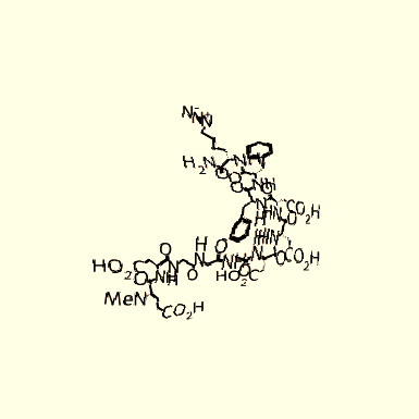 CN[C@@H](CCC(=O)O)C(=O)N[C@@H](CC(=O)O)C(=O)NCC(=O)NCC(=O)NCC(=O)N[C@@H](CC(=O)O)C(=O)N[C@@H](CC(=O)O)C(=O)N[C@@H](CC(=O)O)C(=O)N[C@@H](Cc1ccccc1)C(=O)N[C@@H](Cc1ccccc1)C(=O)N[C@@H](CCCCN=[N+]=[N-])C(N)=O